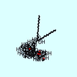 CCCCCCCCCCCCC/C=C/[C@@H](O)[C@H](CO[C@@H]1OC(CO)[C@@H](O[C@@H]2OC(CO)[C@H](O[C@@H]3OC(CO)[C@H](O)[C@H](O)C3NC(C)=O)[C@H](O[C@]3(C(=O)O)CC(O)[C@@H](NC(C)=O)C([C@H](O)[C@@H](CO)O[C@]4(C(=O)O)CC(O)[C@@H](NC(C)=O)C([C@H](O)[C@@H](CO)O[C@]5(C(=O)O)CC(O)[C@@H](NC(C)=O)C([C@H](O)[C@H](O)CO)O5)O4)O3)C2O)[C@H](O)C1O)NC(=O)CCCCCCCCCCCCCCC